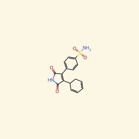 NS(=O)(=O)c1ccc(C2=C(C3C=CC=CC3)C(=O)NC2=O)cc1